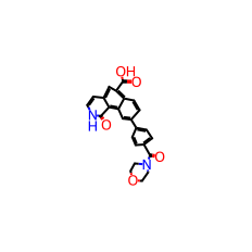 O=C(O)c1cc2cc[nH]c(=O)c2c2cc(-c3ccc(C(=O)N4CCOCC4)cc3)ccc12